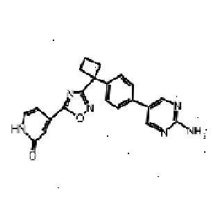 Nc1ncc(-c2ccc(C3(c4noc(-c5cc[nH]c(=O)c5)n4)CCC3)cc2)cn1